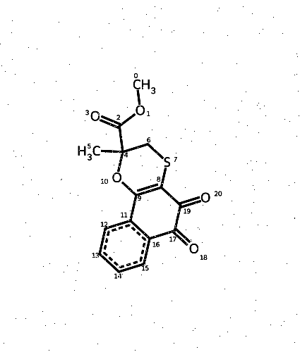 COC(=O)C1(C)CSC2=C(O1)c1ccccc1C(=O)C2=O